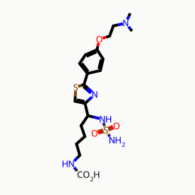 CN(C)CCOc1ccc(-c2nc(C(CCCCNC(=O)O)NS(N)(=O)=O)cs2)cc1